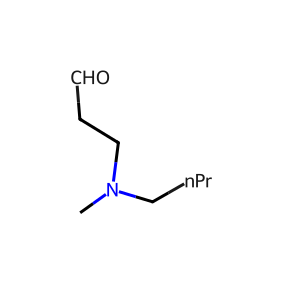 CCCCN(C)CCC=O